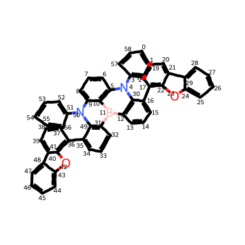 c1ccc(N2c3cccc4c3B(c3cccc(-c5cccc6c5oc5ccccc56)c32)c2cccc(-c3cccc5c3oc3ccccc35)c2N4c2ccccc2)cc1